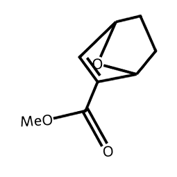 COC(=O)C1=CC2CCC1O2